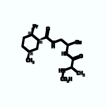 CCC(C)C(CNC(=O)[C@@H]1C[C@H](C)CC[C@H]1C(C)C)NC(=O)C(C)NC(=O)O